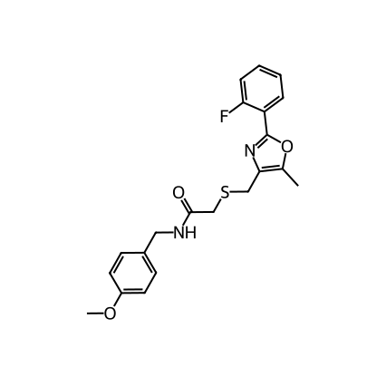 COc1ccc(CNC(=O)CSCc2nc(-c3ccccc3F)oc2C)cc1